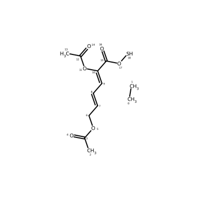 CC.CC(=O)OCC=CC=C(OC(C)=O)C(=O)OS